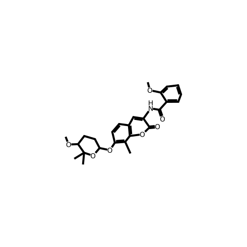 COc1ccccc1C(=O)Nc1cc2ccc(OC3CCC(OC)C(C)(C)O3)c(C)c2oc1=O